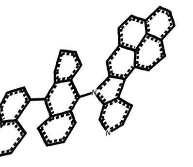 c1ccc2c(-c3c4ccccc4c(-n4c5cnccc5c5c6ccc7cccc8ccc(cc54)c6c87)c4ccccc34)cccc2c1